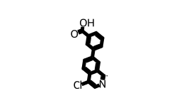 O=C(O)c1cccc(-c2ccc3c(Cl)cn[c]c3c2)c1